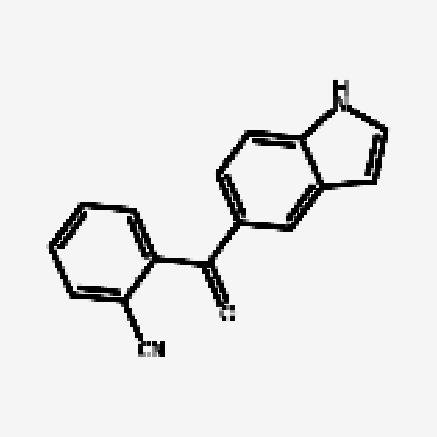 N#Cc1ccccc1C(=O)c1ccc2[nH]ccc2c1